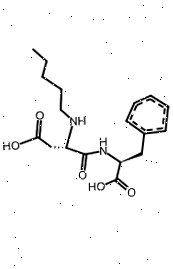 CCCCCN[C@@H](CC(=O)O)C(=O)N[C@@H](Cc1ccccc1)C(=O)O